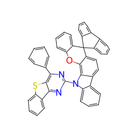 c1ccc(-c2nc(-n3c4ccccc4c4ccc5c(c43)Oc3ccccc3C53c4ccccc4-c4ccccc43)nc3c2sc2ccccc23)cc1